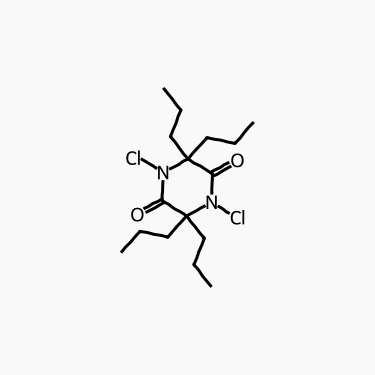 CCCC1(CCC)C(=O)N(Cl)C(CCC)(CCC)C(=O)N1Cl